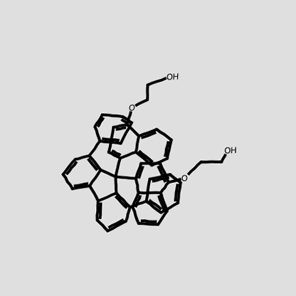 OCCOc1ccc(C2(c3ccc(OCCO)c4ccccc34)c3c(-c4ccccc4)cccc3-c3cccc(-c4ccccc4)c32)c2ccccc12